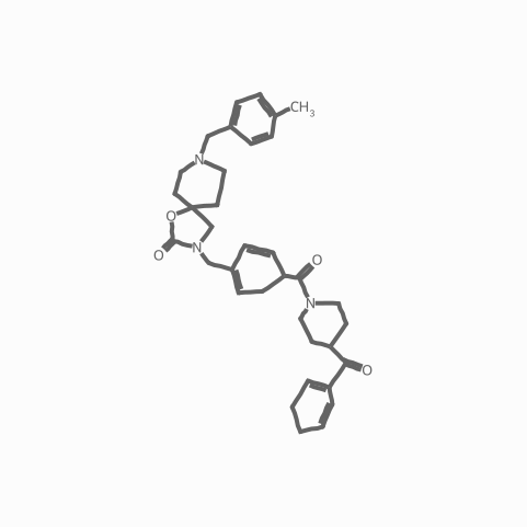 Cc1ccc(CN2CCC3(CC2)CN(CC2=CCC(C(=O)N4CCC(C(=O)C5=CCCC=C5)CC4)C=C2)C(=O)O3)cc1